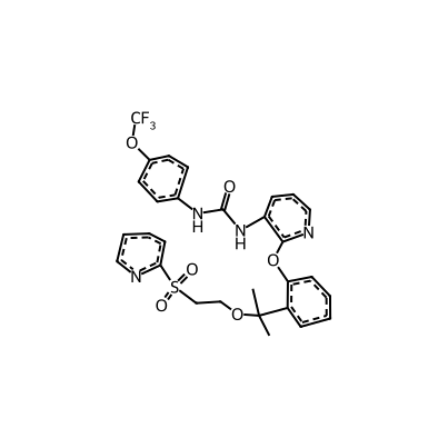 CC(C)(OCCS(=O)(=O)c1ccccn1)c1ccccc1Oc1ncccc1NC(=O)Nc1ccc(OC(F)(F)F)cc1